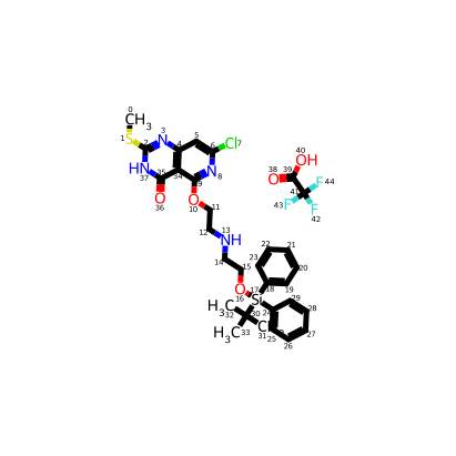 CSc1nc2cc(Cl)nc(OCCNCCO[Si](c3ccccc3)(c3ccccc3)C(C)(C)C)c2c(=O)[nH]1.O=C(O)C(F)(F)F